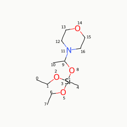 CCO[Si](C)(OCC)OC(C)N1CCOCC1